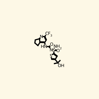 CC(C)(O)c1csc([S@@](N)(=O)=NC(=O)Nc2cc(C(F)(F)F)nc3c2CCC3)c1